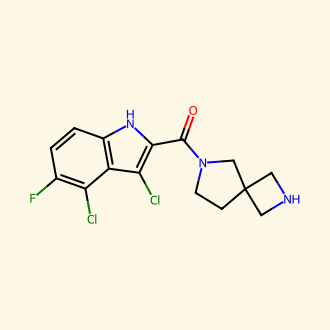 O=C(c1[nH]c2ccc(F)c(Cl)c2c1Cl)N1CCC2(CNC2)C1